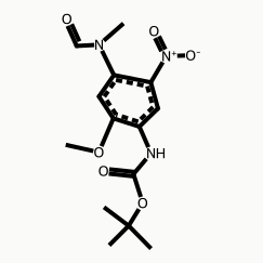 COc1cc(N(C)C=O)c([N+](=O)[O-])cc1NC(=O)OC(C)(C)C